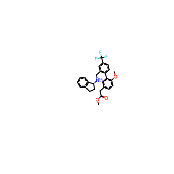 COC(=O)Cc1ccc(OC)c(-c2ccc(C(F)(F)F)cc2CN[C@H]2CCc3ccccc32)c1